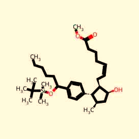 CCCCCC(O[Si](C)(C)C(C)(C)C)c1ccc([C@@H]2[C@@H](C/C=C\CCCC(=O)OC)[C@@H](O)C[C@H]2C)cc1